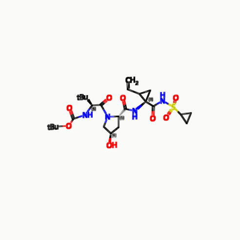 C=CC1C[C@]1(NC(=O)[C@@H]1C[C@@H](O)CN1C(=O)[C@@H](NC(=O)OC(C)(C)C)C(C)(C)C)C(=O)NS(=O)(=O)C1CC1